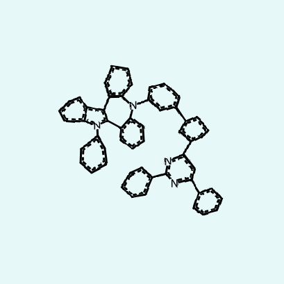 c1ccc(-c2cc(-c3cccc(-c4cccc(N5c6ccccc6-c6c(n(-c7ccccc7)c7ccccc67)-c6ccccc65)c4)c3)nc(-c3ccccc3)n2)cc1